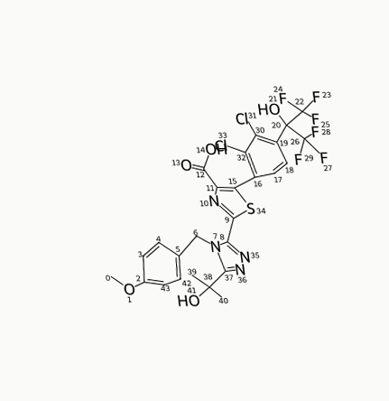 COc1ccc(Cn2c(-c3nc(C(=O)O)c(-c4ccc(C(O)(C(F)(F)F)C(F)(F)F)c(Cl)c4Cl)s3)nnc2C(C)(C)O)cc1